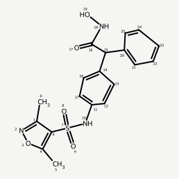 Cc1noc(C)c1S(=O)(=O)Nc1ccc(C(C(=O)NO)c2ccccc2)cc1